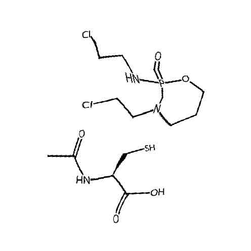 CC(=O)N[C@@H](CS)C(=O)O.O=P1(NCCCl)OCCCN1CCCl